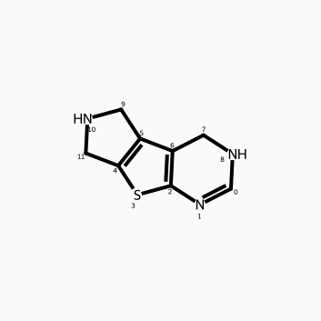 C1=Nc2sc3c(c2CN1)CNC3